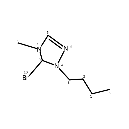 CCCCN1N=CN(C)C1Br